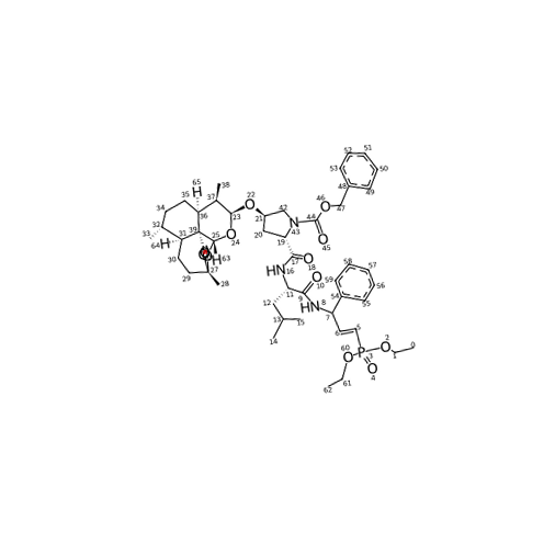 CCOP(=O)(/C=C/C(NC(=O)[C@H](CC(C)C)NC(=O)[C@@H]1C[C@@H](O[C@H]2O[C@@H]3O[C@@]4(C)CC[C@H]5[C@H](C)CC[C@@H]([C@H]2C)[C@@]35OO4)CN1C(=O)OCc1ccccc1)c1ccccc1)OCC